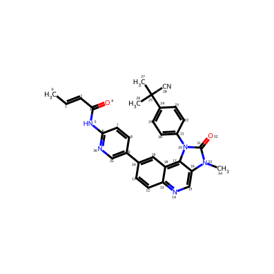 C/C=C/C(=O)Nc1ccc(-c2ccc3ncc4c(c3c2)n(-c2ccc(C(C)(C)C#N)cc2)c(=O)n4C)cn1